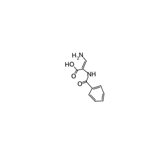 NC=C(NC(=O)c1ccccc1)C(=O)O